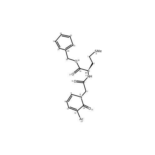 CSCC[C@@H](NC(=O)Cn1cccc(C(C)=O)c1=O)C(=O)OCc1ccccc1